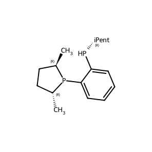 CCC[C@@H](C)Pc1ccccc1P1[C@H](C)CC[C@H]1C